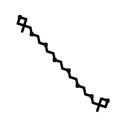 CC1(COCCOCCOCCOCCOCCOCC2(C)COC2)COC1